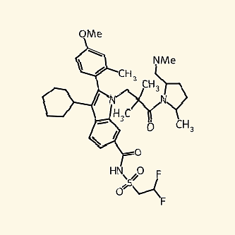 CNCC1CCC(C)N1C(=O)C(C)(C)Cn1c(-c2ccc(OC)cc2C)c(C2CCCCC2)c2ccc(C(=O)NS(=O)(=O)CC(F)F)cc21